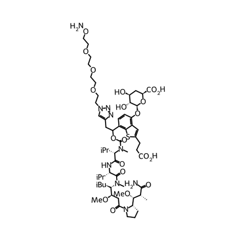 CC[C@H](C)[C@@H]([C@@H](CC(=O)N1CCC[C@H]1[C@H](OC)[C@@H](C)C(N)=O)OC)N(C)C(=O)[C@@H](NC(=O)[C@H](C(C)C)N(C)C(=O)OC(Cc1cn(CCOCCOCCOCCON)nn1)c1ccc(O[C@@H]2O[C@H](C(=O)O)C[C@H](O)[C@H]2O)c2cc(CCC(=O)O)sc12)C(C)C